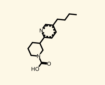 CCCCc1ccc(C2CCCN(C(=O)O)C2)nc1